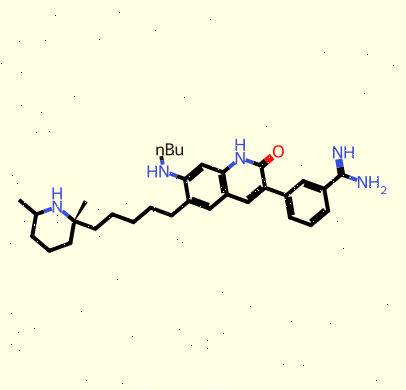 CCCCNc1cc2[nH]c(=O)c(-c3cccc(C(=N)N)c3)cc2cc1CCCCC[C@]1(C)CCCC(C)N1